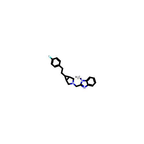 Cn1c(CN2CC3C(CCc4ccc(F)cc4)C3C2)nc2ccccc21